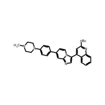 CCCCc1cc(-c2cnc3cc(-c4ccc(N5CCN(C)CC5)cc4)ccn23)c2ccccc2n1